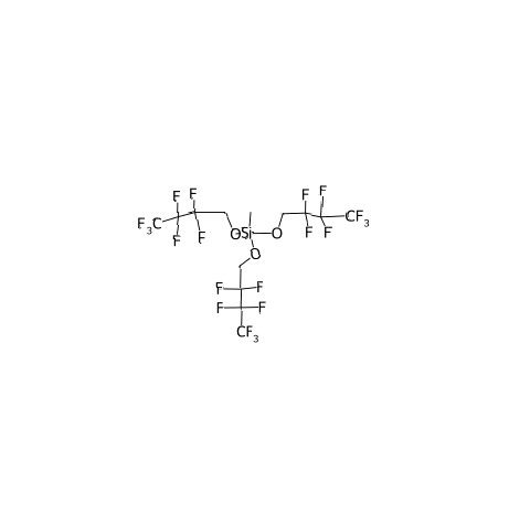 C[Si](OCC(F)(F)C(F)(F)C(F)(F)F)(OCC(F)(F)C(F)(F)C(F)(F)F)OCC(F)(F)C(F)(F)C(F)(F)F